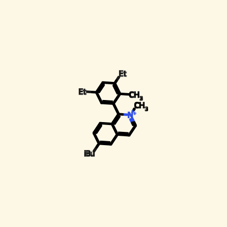 CCc1cc(CC)c(C)c(-c2c3ccc(C(C)CC)cc3cc[n+]2C)c1